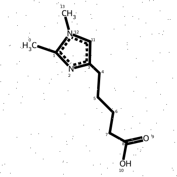 Cc1nc(CCCCC(=O)O)cn1C